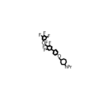 CCCC1CCCC(COc2ccc(-c3cc(F)c(C(F)(F)Oc4cc(F)c(F)c(F)c4)c(F)c3)cc2)CC1